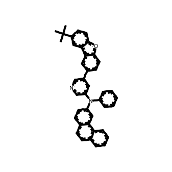 CC(C)(C)c1ccc2oc3ccc(-c4cncc(N(c5ccccc5)c5ccc6ccc7ccccc7c6c5)c4)cc3c2c1